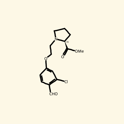 COC(=O)[C@@H]1CCCN1CCOc1ccc(C=O)c(Cl)c1